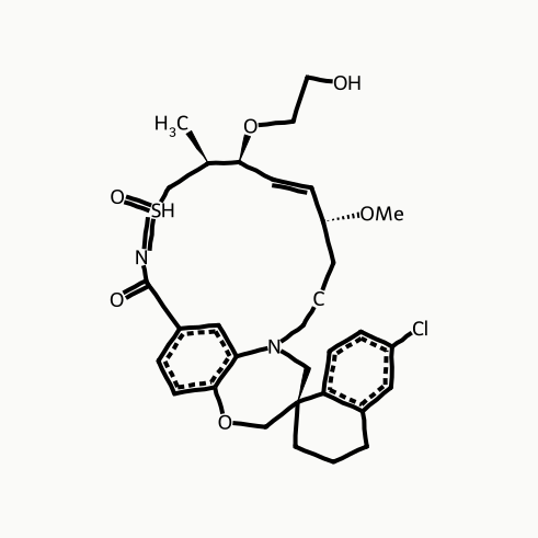 CO[C@H]1/C=C/[C@H](OCCO)[C@H](C)C/[SH](=O)=N\C(=O)c2ccc3c(c2)N(CCC1)C[C@@]1(CCCc2cc(Cl)ccc21)CO3